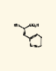 CC(C)(C)C(=Cc1ccccc1)C(=O)O